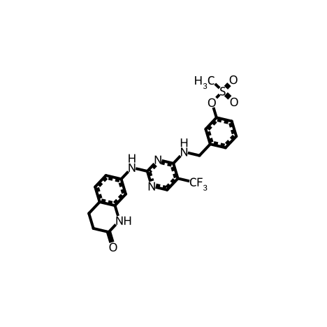 CS(=O)(=O)Oc1cccc(CNc2nc(Nc3ccc4c(c3)NC(=O)CC4)ncc2C(F)(F)F)c1